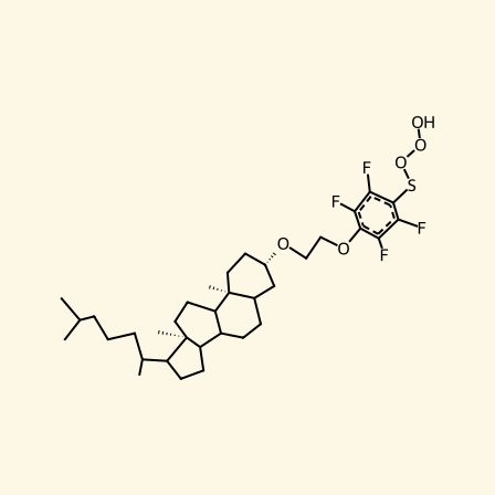 CC(C)CCCC(C)C1CCC2C3CCC4C[C@@H](OCCOc5c(F)c(F)c(SOOO)c(F)c5F)CC[C@]4(C)C3CC[C@]12C